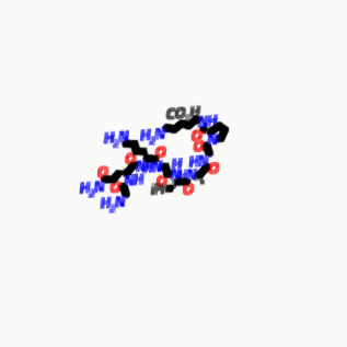 CC(C)C[C@H](NC(=O)CNC(=O)[C@H](CCCCN)NC(=O)[C@H](CCC(N)=O)NC(=O)CN)C(=O)N[C@@H](C)C(=O)NCC(=O)N1CCC[C@H]1C(=O)N[C@@H](CCCCN)C(=O)O